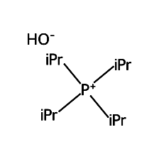 CC(C)[P+](C(C)C)(C(C)C)C(C)C.[OH-]